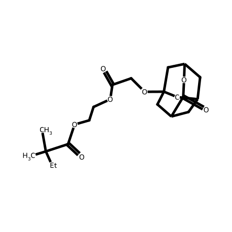 CCC(C)(C)C(=O)OCCOC(=O)COC12CC3CC(C1)OC(=O)C(C3)C2